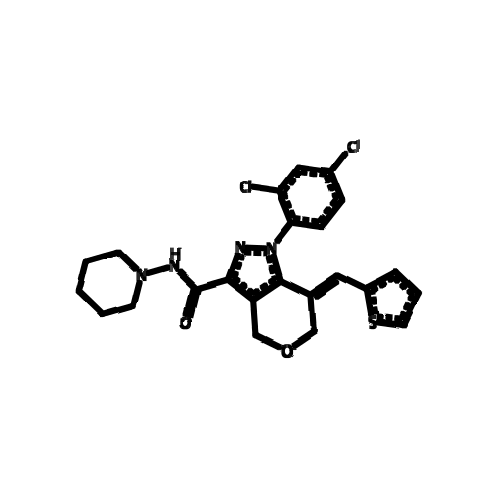 O=C(NN1CCCCC1)c1nn(-c2ccc(Cl)cc2Cl)c2c1COCC2=Cc1cccs1